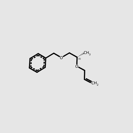 C=CCO[C@@H](C)COCc1ccccc1